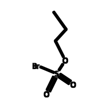 CCCOS(=O)(=O)Br